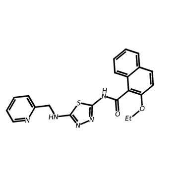 CCOc1ccc2ccccc2c1C(=O)Nc1nnc(NCc2ccccn2)s1